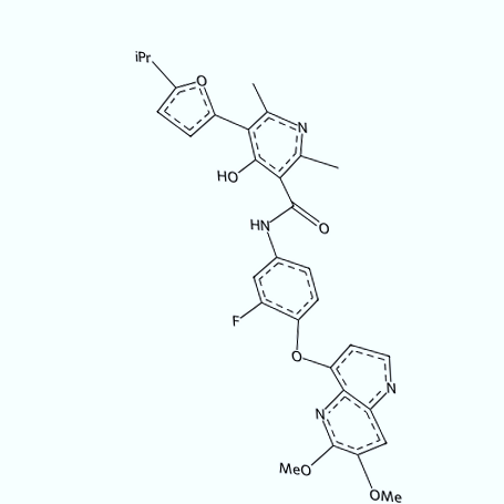 COc1cc2nccc(Oc3ccc(NC(=O)c4c(C)nc(C)c(-c5ccc(C(C)C)o5)c4O)cc3F)c2nc1OC